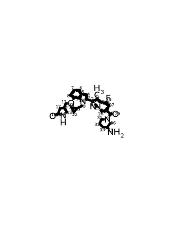 Cc1c(-c2cc3cccc(OCC4CNC(=O)C4)c3n2CC2CC2)nn2cc(C(=O)N3CCCC(N)C3)cc(F)c12